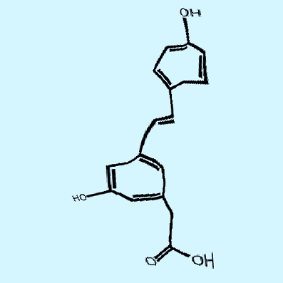 O=C(O)Cc1cc(O)cc(C=Cc2ccc(O)cc2)c1